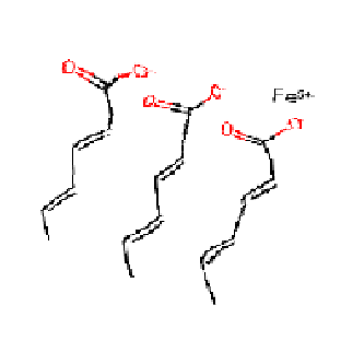 CC=CC=CC(=O)[O-].CC=CC=CC(=O)[O-].CC=CC=CC(=O)[O-].[Fe+3]